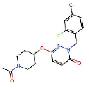 CC(=O)N1CCC(Oc2ccc(=O)n(Cc3ccc(Cl)cc3F)n2)CC1